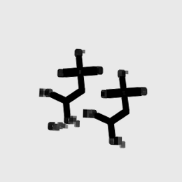 CC(O)CS(=O)(=O)[O-].CC(O)CS(=O)(=O)[O-].[Cu+2]